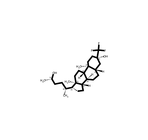 C[C@H](O)CC[C@@H](C)[C@H]1CC[C@H]2[C@@H]3CC[C@H]4C[C@](O)(C(F)(F)F)CC[C@]4(C)[C@H]3CC[C@]12C